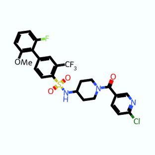 COc1cccc(F)c1-c1ccc(S(=O)(=O)NC2CCN(C(=O)c3ccc(Cl)nc3)CC2)c(C(F)(F)F)c1